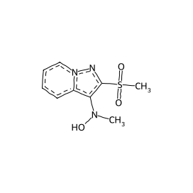 CN(O)c1c(S(C)(=O)=O)nn2ccccc12